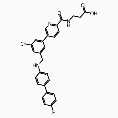 O=C(O)CCNC(=O)c1ccc(-c2cc(Cl)cc(CNc3ccc(-c4ccc(F)cc4)cc3)c2)cn1